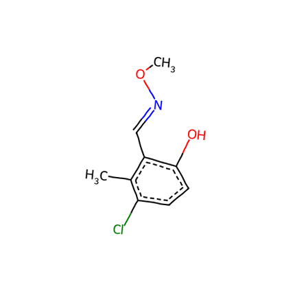 CO/N=C/c1c(O)ccc(Cl)c1C